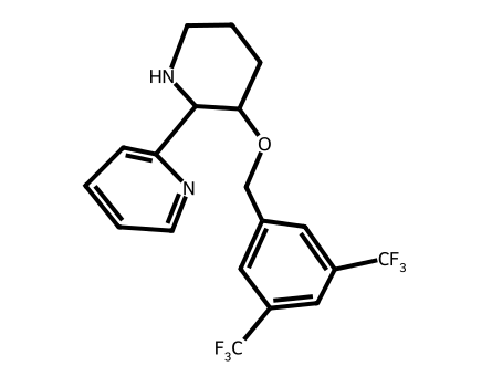 FC(F)(F)c1cc(COC2CCCNC2c2ccccn2)cc(C(F)(F)F)c1